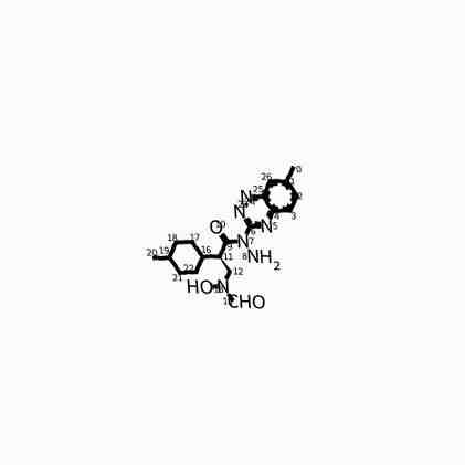 Cc1ccc2nc(N(N)C(=O)[C@@H](CN(O)C=O)C3CCC(C)CC3)nnc2c1